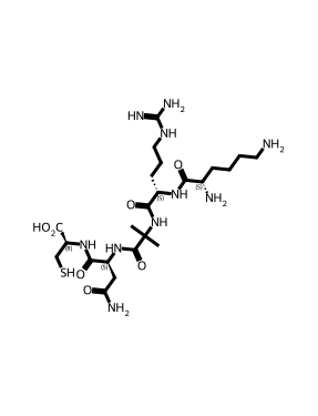 CC(C)(NC(=O)[C@H](CCCNC(=N)N)NC(=O)[C@@H](N)CCCCN)C(=O)N[C@@H](CC(N)=O)C(=O)N[C@@H](CS)C(=O)O